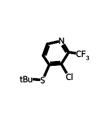 CC(C)(C)Sc1ccnc(C(F)(F)F)c1Cl